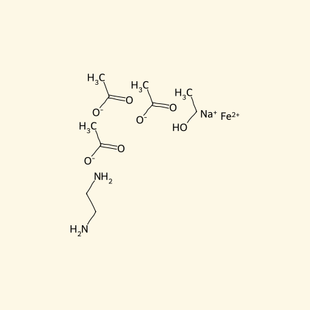 CC(=O)[O-].CC(=O)[O-].CC(=O)[O-].CCO.NCCN.[Fe+2].[Na+]